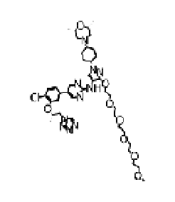 COCCOCCOCCOCCOCCOc1nn([C@H]2CC[C@H](N3C[C@@H](C)O[C@@H](C)C3)CC2)cc1Nc1ncc(-c2ccc(Cl)c(O[C@@H](C)Cn3cnnn3)c2)cn1